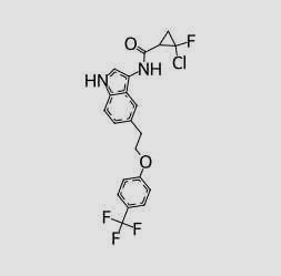 O=C(Nc1c[nH]c2ccc(CCOc3ccc(C(F)(F)F)cc3)cc12)C1CC1(F)Cl